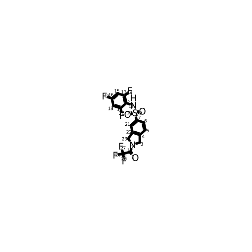 O=C(N1Cc2ccc(S(=O)(=O)Nc3c(F)cc(F)cc3F)cc2C1)C(F)(F)F